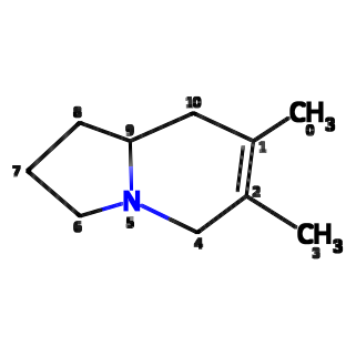 CC1=C(C)CN2CCCC2C1